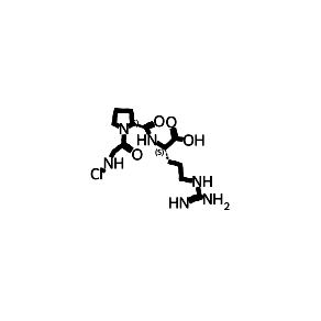 N=C(N)NCCC[C@H](NC(=O)[C@@H]1CCCN1C(=O)CNCl)C(=O)O